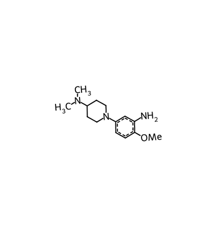 COc1ccc(N2CCC(N(C)C)CC2)cc1N